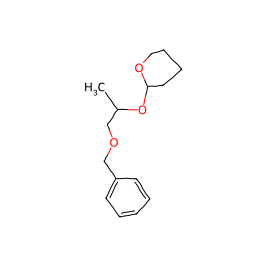 CC(COCc1ccccc1)OC1CCCCO1